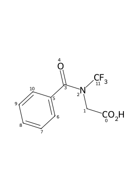 O=C(O)CN(C(=O)c1ccccc1)C(F)(F)F